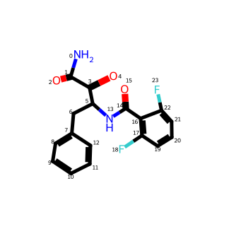 NC(=O)C(=O)C(Cc1ccccc1)NC(=O)c1c(F)cccc1F